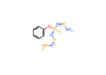 N/P=N\P(F)(=N/P=N\PF)Oc1ccccc1